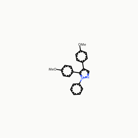 COc1ccc(-c2cnn(-c3ccccc3)c2-c2ccc(OC)cc2)cc1